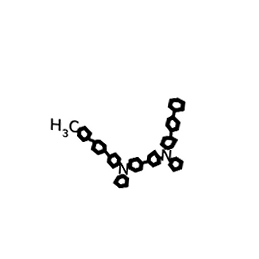 Cc1ccc(-c2ccc(-c3ccc(N(c4ccccc4)c4ccc(-c5ccc(N(c6ccccc6)c6ccc(-c7ccc(-c8ccccc8)cc7)cc6)cc5)cc4)cc3)cc2)cc1